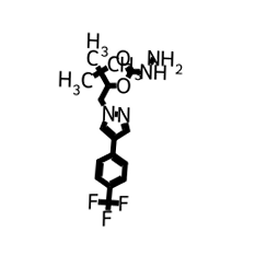 CC(C)(C)C(Cn1cc(-c2ccc(C(F)(F)F)cc2)cn1)OC(=O)NN